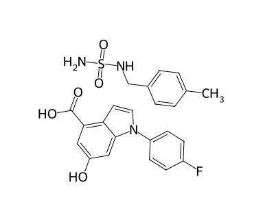 Cc1ccc(CNS(N)(=O)=O)cc1.O=C(O)c1cc(O)cc2c1ccn2-c1ccc(F)cc1